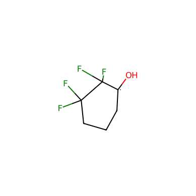 O[C]1CCCC(F)(F)C1(F)F